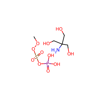 COOS(=O)(=O)OP(=O)(O)O.NC(CO)(CO)CO